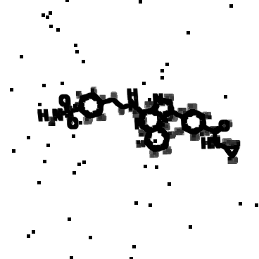 NS(=O)(=O)c1ccc(CCNc2nc3ccccc3n3c(-c4ccc(C(=O)NC5CC5)cc4)cnc23)cc1